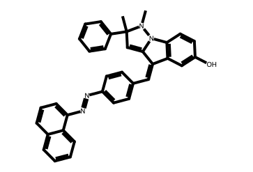 CN1n2c(/c(=C\c3ccc(/N=N/c4cccc5ccccc45)cc3)c3cc(O)ccc32)=CC1(C)c1ccccc1